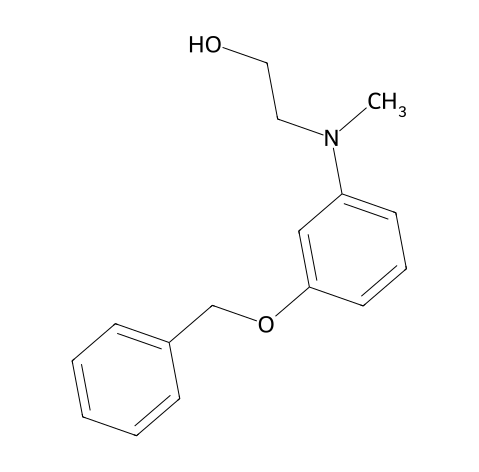 CN(CCO)c1cccc(OCc2ccccc2)c1